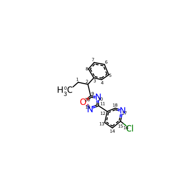 CCC(c1ccccc1)c1nc(-c2ccc(Cl)nc2)no1